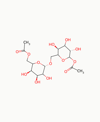 CC(=O)OCC1O[C@H](OCC2OC(OC(C)=O)[C@@H](O)C(O)[C@@H]2O)C(O)[C@@H](O)[C@H]1O